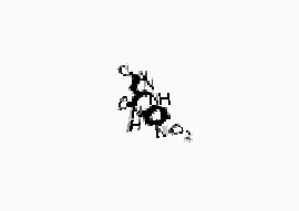 O=C1Nc2cc([N+](=O)[O-])ccc2Nc2nnc(Cl)cc21